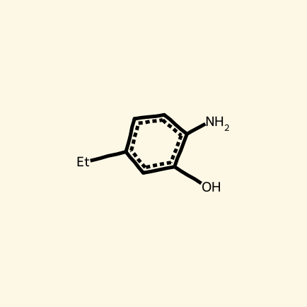 CCc1ccc(N)c(O)c1